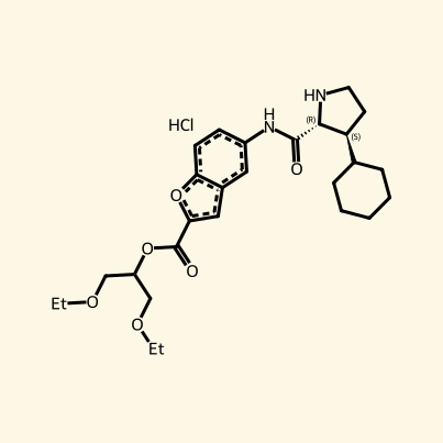 CCOCC(COCC)OC(=O)c1cc2cc(NC(=O)[C@@H]3NCC[C@H]3C3CCCCC3)ccc2o1.Cl